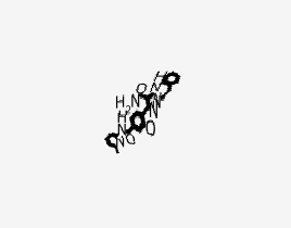 COc1cc(C(=O)Nc2cccc(C)n2)ccc1-c1nn2c(c1C(N)=O)Nc1ccccc1CC2